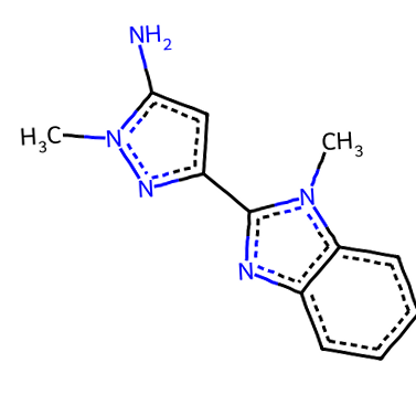 Cn1nc(-c2nc3ccccc3n2C)cc1N